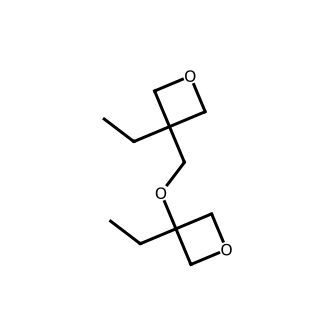 CCC1(COC2(CC)COC2)COC1